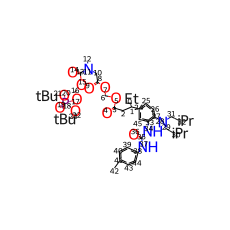 CCC(CC(=O)OCOC(=O)CN(C)C(=O)OCOP(=O)(OC(C)(C)C)OC(C)(C)C)c1ccc(N(CC(C)C)CC(C)C)c(NC(=O)Nc2ccc(C)cc2)c1